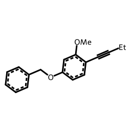 CCC#Cc1ccc(OCc2ccccc2)cc1OC